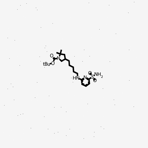 CC(C)(C)OC(=O)N1CC(CCCCCNc2cccc(S(N)(=O)=O)n2)CC1(C)C